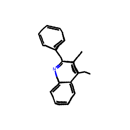 Cc1c(-c2ccccc2)nc2ccccc2c1C